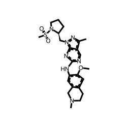 COc1cc2c(cc1Nc1ncc3c(C)nn(C[C@@H]4CCCN4S(C)(=O)=O)c3n1)CN(C)CC2